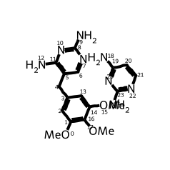 COc1cc(Cc2cnc(N)nc2N)cc(OC)c1OC.Nc1ccnc(N)n1